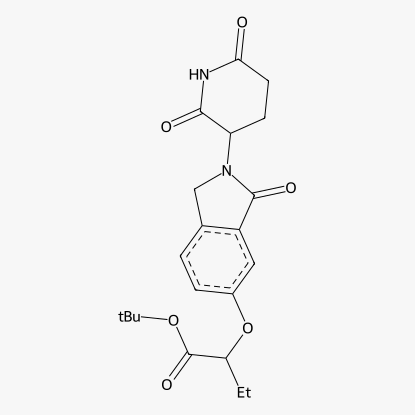 CCC(Oc1ccc2c(c1)C(=O)N(C1CCC(=O)NC1=O)C2)C(=O)OC(C)(C)C